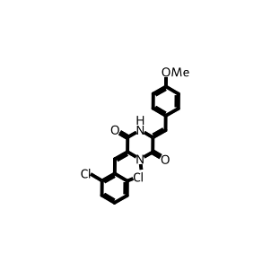 COc1ccc(/C=c2\[nH]c(=O)/c(=C/c3c(Cl)cccc3Cl)n(C)c2=O)cc1